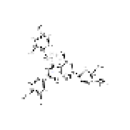 Cc1ccc(C(N)CC(N)N/C(=N\C(=O)c2ccc(F)c(F)c2)NCc2ccc(F)cc2Cl)cc1F